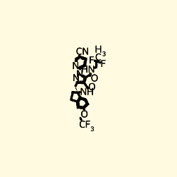 CC(F)(F)CNC(=O)c1c2c(nn1-c1ccc(C#N)cn1)C[C@]1(CCc3cc(OCC(F)(F)F)ccc31)NC2=O